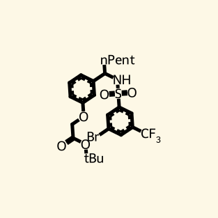 CCCCCC(NS(=O)(=O)c1cc(Br)cc(C(F)(F)F)c1)c1cccc(OCC(=O)OC(C)(C)C)c1